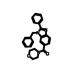 O=C(c1ccc2nc(-c3ccccc3)n(Cc3ccccc3)c2c1)N1CCOCC1